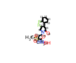 C[C@@](CCn1cc(F)c(-c2ccccc2F)cc1=O)(C(=O)NO)S(C)(=O)=O